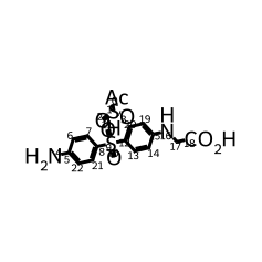 CC(=O)[SH](=O)=O.Nc1ccc(S(=O)(=O)c2ccc(NCC(=O)O)cc2)cc1